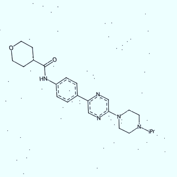 CC(C)N1CCN(c2cnc(-c3ccc(NC(=O)C4CCOCC4)cc3)cn2)CC1